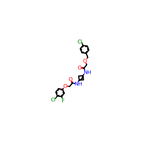 O=C(COCc1ccc(Cl)cc1)NC12CC(NC(=O)COc3ccc(Cl)c(F)c3)(C1)C2